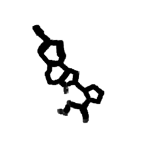 C#Cc1ccc2c(c1)CCc1[nH]c(C3CCCN3C(=O)OC(C)(C)C)nc1-2